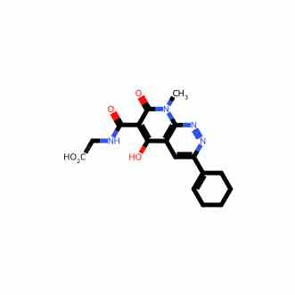 Cn1c(=O)c(C(=O)NCC(=O)O)c(O)c2cc(C3=CCCCC3)nnc21